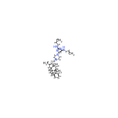 C=CCNc1cc(N2CCN(CC[C@H]3[C@H](C)C[C@H]4[C@@H]5CCC6=CCC=C[C@]6(C)C5=CC[C@]34C)CC2)nc(NCC=C)n1